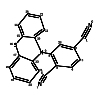 N#Cc1ccc(C#N)c(N2c3ccccc3Sc3ccccc32)c1